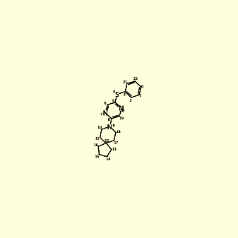 c1ccc(Sc2cnc(N3CCC4(CCCC4)CC3)cn2)cc1